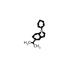 CC(C)c1ccc2c(ccn2-c2ccccc2)c1